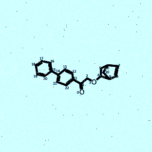 O=C(COC1CC2C=CC1C2)c1ccc(-c2ccccc2)cc1